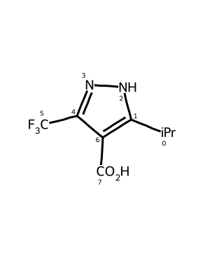 CC(C)c1[nH]nc(C(F)(F)F)c1C(=O)O